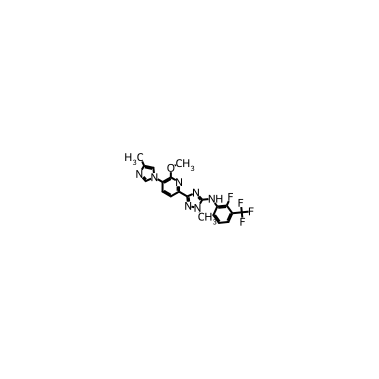 COc1nc(-c2nc(Nc3cccc(C(F)(F)F)c3F)n(C)n2)ccc1-n1cnc(C)c1